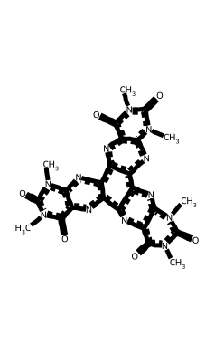 Cn1c(=O)c2nc3c4nc5c(=O)n(C)c(=O)n(C)c5nc4c4nc5c(nc4c3nc2n(C)c1=O)c(=O)n(C)c(=O)n5C